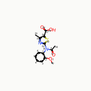 COc1ccccc1N(C(C)=O)c1nc(C)c(C(=O)O)s1